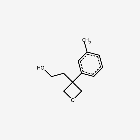 Cc1cccc(C2(CCO)COC2)c1